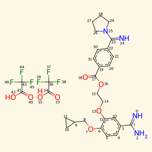 N=C(N)c1ccc(OCC2CC2)c(OCCOC(=O)c2ccc(C(=N)N3CCCC3)cc2)c1.O=C(O)C(F)(F)F.O=C(O)C(F)(F)F